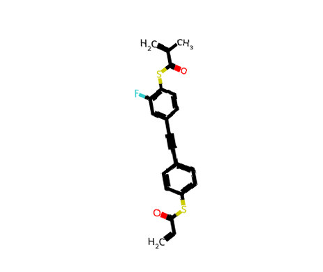 C=CC(=O)Sc1ccc(C#Cc2ccc(SC(=O)C(=C)C)c(F)c2)cc1